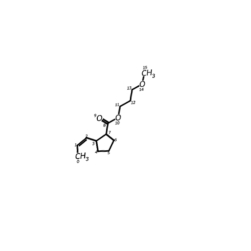 C/C=C\C1CCCC1C(=O)OCCCOC